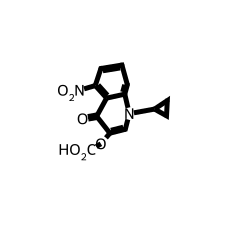 O=C(O)Oc1cn(C2CC2)c2cccc([N+](=O)[O-])c2c1=O